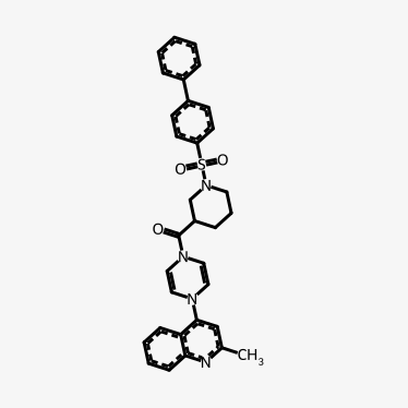 Cc1cc(N2C=CN(C(=O)C3CCCN(S(=O)(=O)c4ccc(-c5ccccc5)cc4)C3)C=C2)c2ccccc2n1